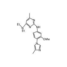 CCN(CC)c1cc(C)nc(Nc2ccc(-n3cnc(C)c3)c(OC)c2)n1